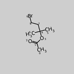 CC(=O)OC(C)(C)CCBr